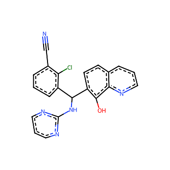 N#Cc1cccc(C(Nc2ncccn2)c2ccc3cccnc3c2O)c1Cl